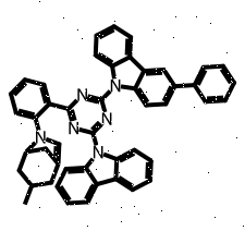 CC1CC2=CN(c3ccccc3-c3nc(-n4c5ccccc5c5ccccc54)nc(-n4c5ccccc5c5cc(-c6ccccc6)ccc54)n3)C(C2)C1